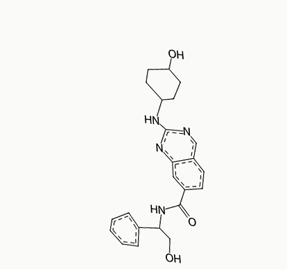 O=C(NC(CO)c1ccccc1)c1ccc2cnc(NC3CCC(O)CC3)nc2c1